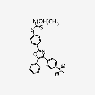 CN(O)C(=S)Sc1ccc(-c2nc(-c3ccc(S(C)(=O)=O)cc3)c(-c3ccccc3)o2)cc1